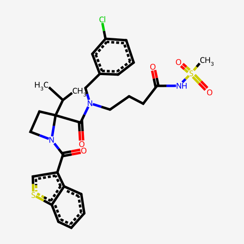 CC(C)C1(C(=O)N(CCCC(=O)NS(C)(=O)=O)Cc2cccc(Cl)c2)CCN1C(=O)c1csc2ccccc12